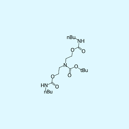 CCCCNC(=O)OCCN(CCOC(=O)NCCCC)C(=O)OC(C)(C)C